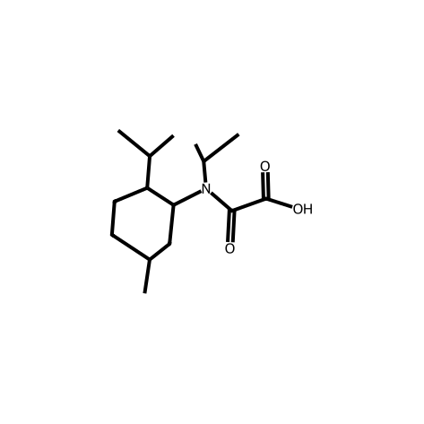 CC1CCC(C(C)C)C(N(C(=O)C(=O)O)C(C)C)C1